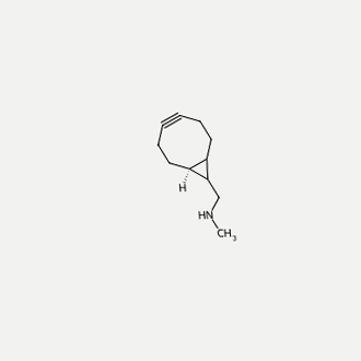 CNCC1C2CCC#CCC[C@@H]21